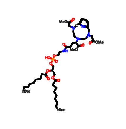 CCCCCCCCCCCCCCCCCC(=O)OC[C@H](COP(=O)(O)OCCNC(=O)CCC(C(=O)OC)N1CCN(CC(=O)OC)Cc2cccc(n2)CN(CC(=O)OC)CC1)OC(=O)CCCCCCCCCCCCCCCCC